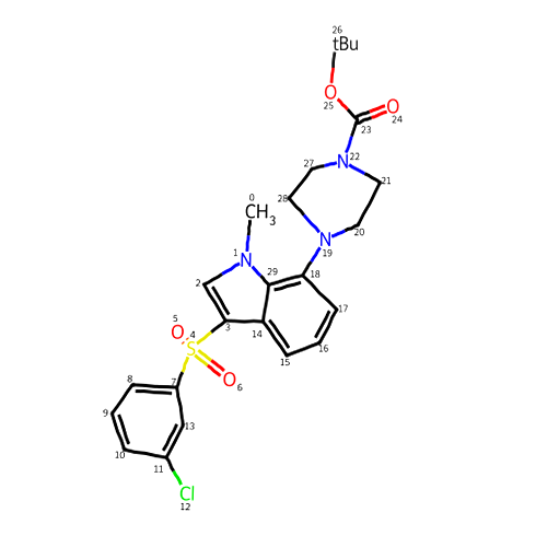 Cn1cc(S(=O)(=O)c2cccc(Cl)c2)c2cccc(N3CCN(C(=O)OC(C)(C)C)CC3)c21